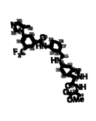 COC(=O)C(C)NC(=O)c1[nH]nc2cc(NCc3cccc(NC(=O)c4cc(-n5cncc5C)cc(C(F)(F)F)c4)c3)ccc12